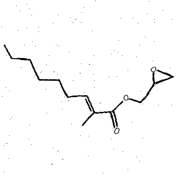 CCCCCCC=C(C)C(=O)OCC1CO1